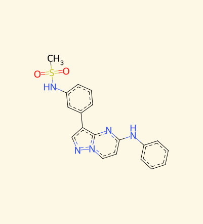 CS(=O)(=O)Nc1cccc(-c2cnn3ccc(Nc4ccccc4)nc23)c1